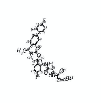 C[C@@H](c1ccc(-c2ccc(F)cc2F)cc1)N1CC[C@](CCNC(=O)CNC(=O)OC(C)(C)C)(c2ccc(F)cc2)OC1=O